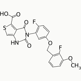 COc1cccc(COc2ccc(F)c(-n3c(=O)[nH]c4csc(C(=O)O)c4c3=O)c2)c1F